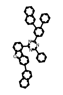 c1ccc(-c2nc(-c3ccc(-c4ccccc4)c(-c4ccc5ccccc5c4)c3)nc(-c3cccc4oc5cc(-c6ccc7ccccc7c6)ccc5c34)n2)cc1